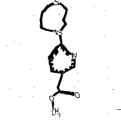 COC(=O)c1ccc(N2CCSCC2)nc1